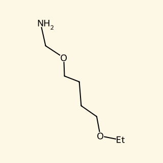 CCOCCCCOCN